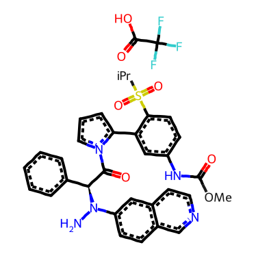 COC(=O)Nc1ccc(S(=O)(=O)C(C)C)c(-c2cccn2C(=O)[C@H](c2ccccc2)N(N)c2ccc3cnccc3c2)c1.O=C(O)C(F)(F)F